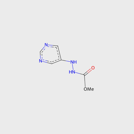 COC(=O)NNc1cncnc1